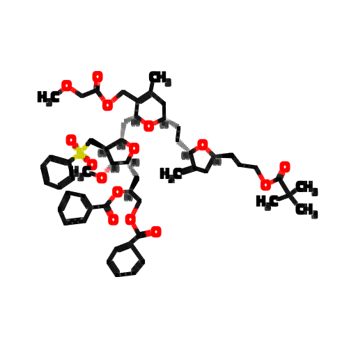 C=C1C[C@H](CCCOC(=O)C(C)(C)C)O[C@H]1CC[C@H]1CC(C)=C(COC(=O)COC)[C@@H](C[C@@H]2O[C@H](C[C@@H](COC(=O)c3ccccc3)OC(=O)c3ccccc3)[C@H](OC)[C@H]2CS(=O)(=O)c2ccccc2)O1